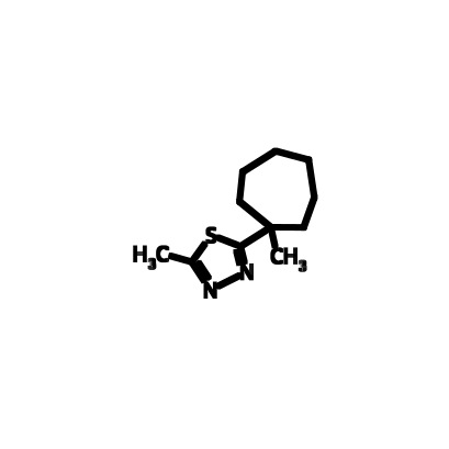 Cc1nnc(C2(C)CCCCCC2)s1